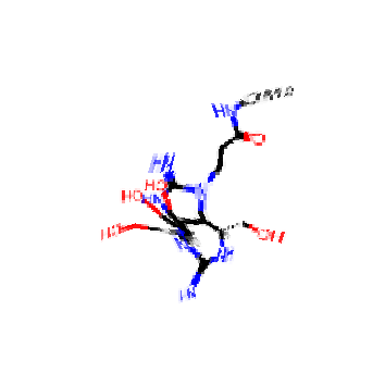 CONC(=O)CCN1C(=N)NC23C1[C@H](CO)NC(=N)N2C[C@@H](O)C3(O)O